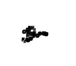 NC(=O)CC(NCC1CCCCC1)c1ccc2c(c1)nc(-c1cccc(OCCN3CCOCC3)c1)n2Cc1ccc(OC(F)(F)F)cc1